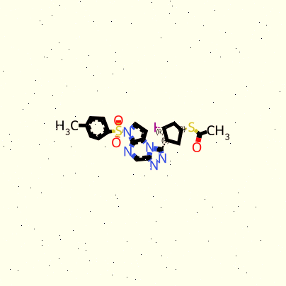 CC(=O)S[C@H]1C[C@@H](I)[C@@H](c2nnc3cnc4c(ccn4S(=O)(=O)c4ccc(C)cc4)n23)C1